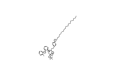 CCCCCCCCCCCCCCCCCCOc1ccc(CCC(=O)N(CC(=O)OC(C)(C)C)c2ccccc2Oc2ccccc2C)cc1